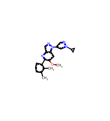 COc1cc2c(cnn2-c2cnn(C3CC3)c2)nc1-c1cccc(C)c1C